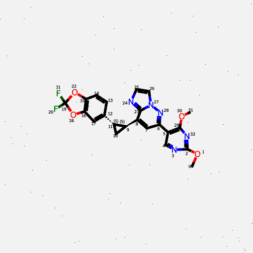 COc1ncc(-c2cc([C@H]3C[C@@H]3c3ccc4c(c3)OC(F)(F)O4)c3nccn3n2)c(OC)n1